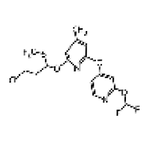 Cc1cc(Oc2ccnc(OC(F)F)c2)nc(OC(CCCl)SC(F)(F)F)c1